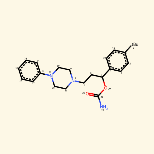 CC(C)(C)c1ccc(C(CCN2CCN(c3ccccc3)CC2)OC(N)=O)cc1